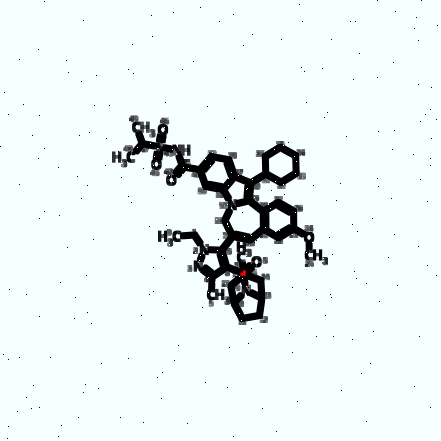 CCn1nc(C)c(C(=O)N2C3CCC2CN(C)C3)c1C1=Cc2cc(OC)ccc2-c2c(C3CCCCC3)c3ccc(C(=O)NS(=O)(=O)C(C)C)cc3n2C1